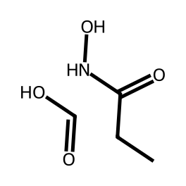 CCC(=O)NO.O=CO